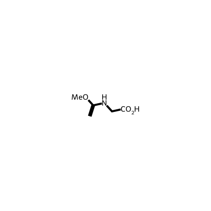 C=C(NCC(=O)O)OC